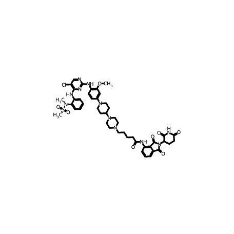 COc1cc(N2CCC(N3CCN(CCCCC(=O)Nc4cccc5c4C(=O)N(C4CCC(=O)NC4=O)C5=O)CC3)CC2)ccc1Nc1ncc(Cl)c(Nc2ccccc2N(C)S(C)(=O)=O)n1